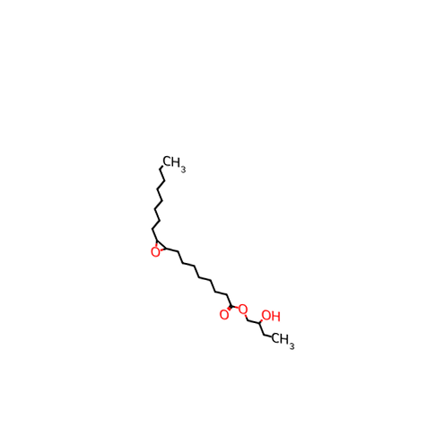 CCCCCCCCC1OC1CCCCCCCC(=O)OCC(O)CC